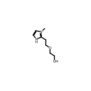 C[n+]1cc[nH]c1CCOCCO